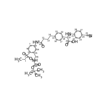 CCS(=O)(=O)c1ccc(NC(=O)CCCc2ccc(C(Nc3ccc(C#N)cc3)C(=O)O)cc2)cc1CNC(=O)OC(C)(C)C